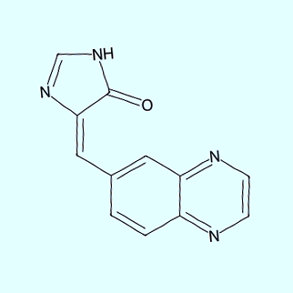 O=C1NC=NC1=Cc1ccc2nccnc2c1